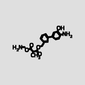 CC(C(=O)OCN)C(=O)OCc1cccc(-c2ccc(N)c(O)c2)c1